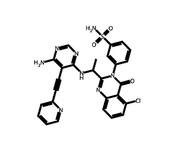 CC(Nc1ncnc(N)c1C#Cc1ccccn1)c1nc2cccc(Cl)c2c(=O)n1-c1cccc(S(N)(=O)=O)c1